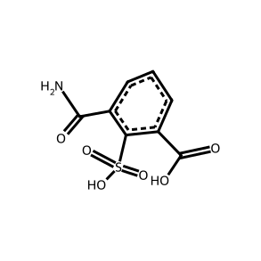 NC(=O)c1cccc(C(=O)O)c1S(=O)(=O)O